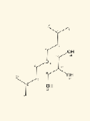 CC(C)CCOCCC(C)C.OCC(O)CO